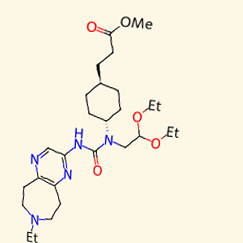 CCOC(CN(C(=O)Nc1cnc2c(n1)CCN(CC)CC2)[C@H]1CC[C@H](CCC(=O)OC)CC1)OCC